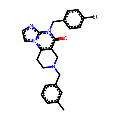 CCc1ccc(Cn2c(=O)c3c(n4ccnc24)CCN(Cc2cccc(C)c2)C3)cc1